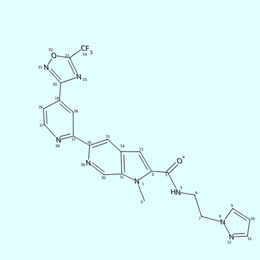 Cn1c(C(=O)NCCn2cccn2)cc2cc(-c3cc(-c4noc(C(F)(F)F)n4)ccn3)ncc21